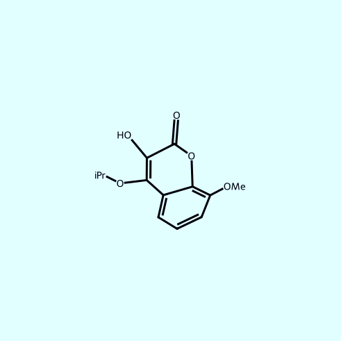 COc1cccc2c(OC(C)C)c(O)c(=O)oc12